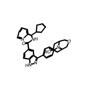 O=C(NC(c1ccccn1)C1CCCC1)c1ccc2[nH]nc(-c3ccc(N4C5COCC4CC(O)C5)cc3)c2c1